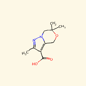 Cc1nn2c(c1C(=O)O)COC(C)(C)C2